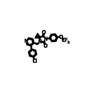 O=C1N(c2ccc(OC(F)(F)F)cc2)C(=O)C2(CC2)N1Cc1ccncc1-c1ccc(Cl)cc1